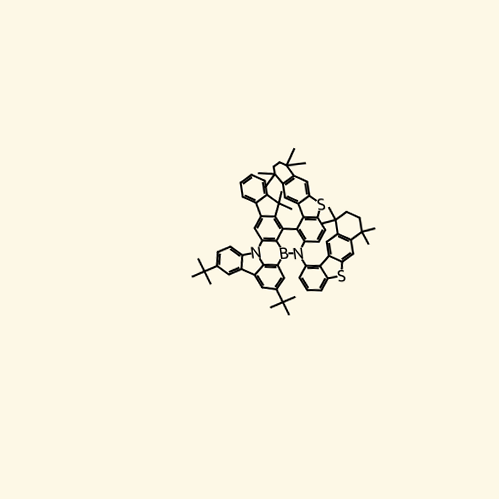 CC(C)(C)c1ccc2c(c1)c1cc(C(C)(C)C)cc3c1n2-c1cc2c(c4c1B3N(c1cccc3sc5cc6c(cc5c13)C(C)(C)CCC6(C)C)c1ccc3sc5cc6c(cc5c3c1-4)C(C)(C)CCC6(C)C)C(C)(C)c1ccccc1-2